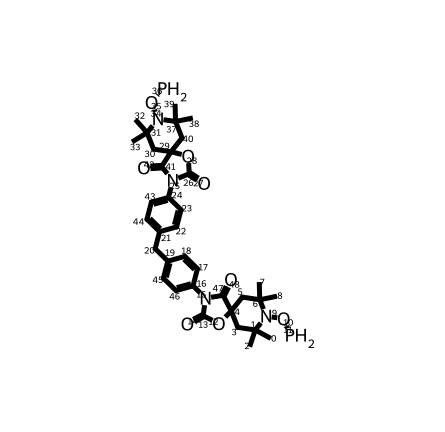 CC1(C)CC2(CC(C)(C)N1OP)OC(=O)N(c1ccc(Cc3ccc(N4C(=O)OC5(CC(C)(C)N(OP)C(C)(C)C5)C4=O)cc3)cc1)C2=O